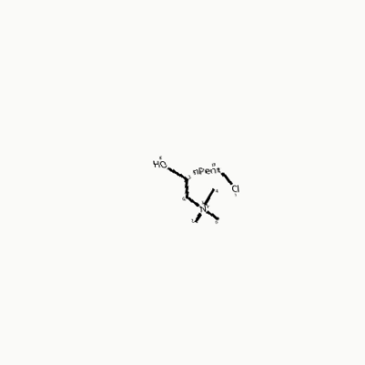 CCCCCCl.C[N+](C)(C)CCO